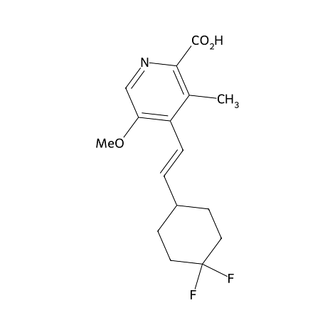 COc1cnc(C(=O)O)c(C)c1C=CC1CCC(F)(F)CC1